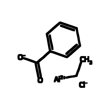 C[CH2][Al+2].O=C([O-])c1ccccc1.[Cl-]